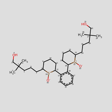 CC(C)(CO)CCCC1CCCC(c2ccccc2C2CCCC(CCCC(C)(C)CO)[S+]2[O-])[S+]1[O-]